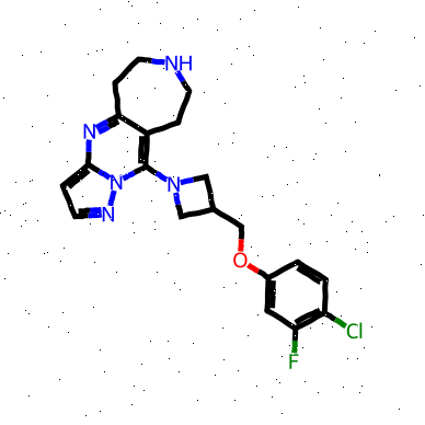 Fc1cc(OCC2CN(c3c4c(nc5ccnn35)CCNCC4)C2)ccc1Cl